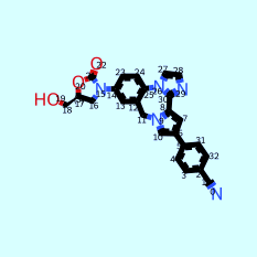 N#Cc1ccc(-c2cc3n(c2)Cc2cc(N4C[C@@H](CO)OC4=O)ccc2-n2ccnc2-3)cc1